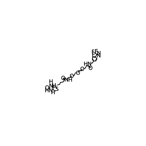 O=C(CCCC[C@@H]1SC[C@@H]2NC(=O)N[C@@H]21)NCCOCCOCCOCCC(=O)NCc1ccc(C2(C(F)(F)F)N=N2)cc1